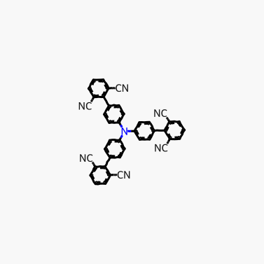 N#Cc1cccc(C#N)c1-c1ccc(N(c2ccc(-c3c(C#N)cccc3C#N)cc2)c2ccc(-c3c(C#N)cccc3C#N)cc2)cc1